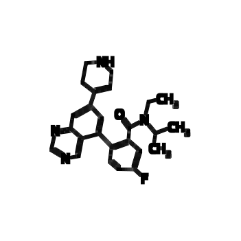 CCN(C(=O)c1cc(F)ccc1-c1cc(C2=CCNCC2)cc2ncncc12)C(C)C